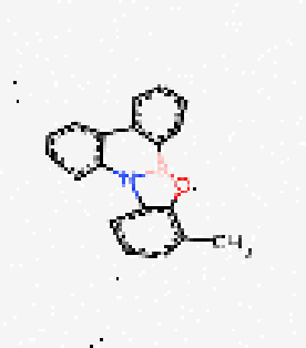 Cc1cccc2c1OB1c3ccccc3-c3ccccc3N12